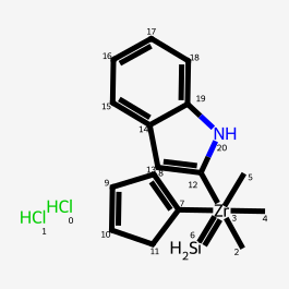 Cl.Cl.[CH3][Zr]([CH3])([CH3])(=[SiH2])([C]1=CC=CC1)[c]1cc2ccccc2[nH]1